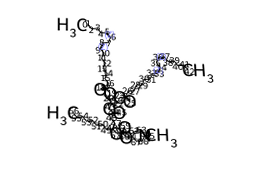 CCCCC/C=C\C/C=C\CCCCCCCC(=O)OCC(COC(=O)CCCCCCC/C=C\C/C=C\CCCCC)OC(=O)CCC(CCCCCCCC)OC(=O)OC1CCN(C)CC1